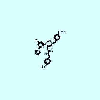 COc1ccc(CN2CCN(c3cc(Cl)nc(-n4ccnc4)n3)C(CC(=O)NCc3ccc(C)cc3)C2)cc1